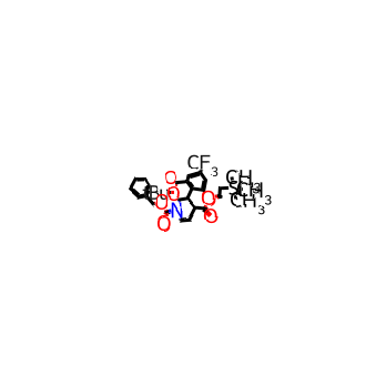 CC(C)(C)OC(=O)c1cc(C(F)(F)F)ccc1C1CN(C(=O)OCc2ccccc2)CCC1C(=O)OCC[Si](C)(C)C